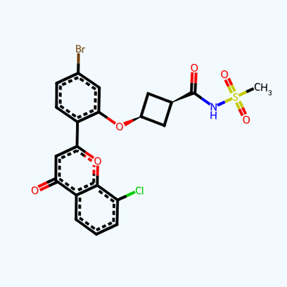 CS(=O)(=O)NC(=O)[C@H]1C[C@@H](Oc2cc(Br)ccc2-c2cc(=O)c3cccc(Cl)c3o2)C1